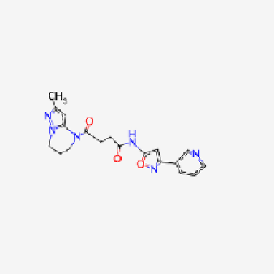 Cc1cc2n(n1)CCCN2C(=O)CCC(=O)Nc1cc(-c2cccnc2)no1